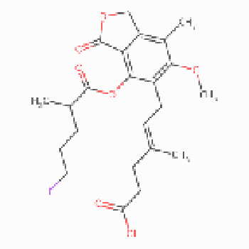 COc1c(C)c2c(c(OC(=O)C(C)CCCI)c1C/C=C(\C)CCC(=O)O)C(=O)OC2